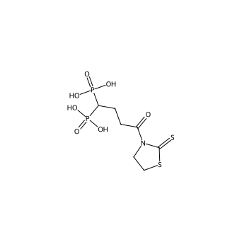 O=C(CCC(P(=O)(O)O)P(=O)(O)O)N1CCSC1=S